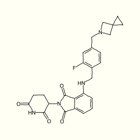 O=C1CCC(N2C(=O)c3cccc(NCc4ccc(CN5CC6(CC6)C5)cc4F)c3C2=O)C(=O)N1